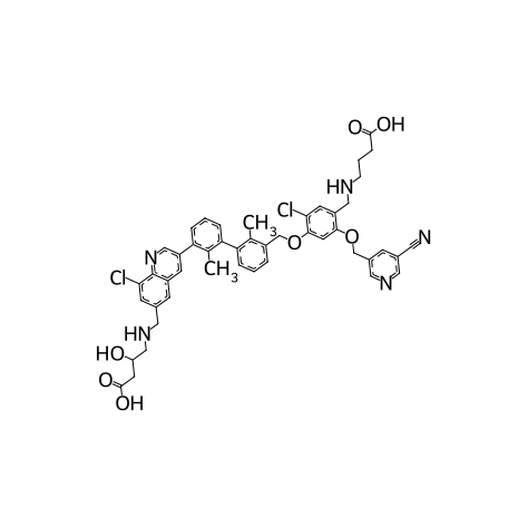 Cc1c(COc2cc(OCc3cncc(C#N)c3)c(CNCCCC(=O)O)cc2Cl)cccc1-c1cccc(-c2cnc3c(Cl)cc(CNCC(O)CC(=O)O)cc3c2)c1C